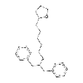 c1ccc(CC(Cc2ccccc2)SCCCCCC2CCCO2)cc1